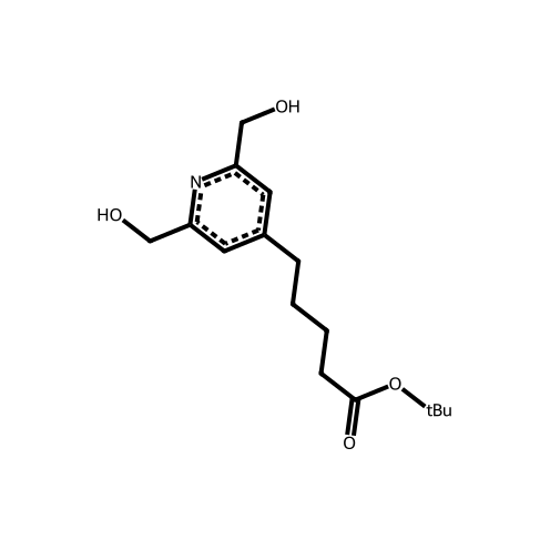 CC(C)(C)OC(=O)CCCCc1cc(CO)nc(CO)c1